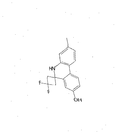 Cc1ccc2c(c1)NC1(CC(F)(F)C1)c1cc(O)ccc1-2